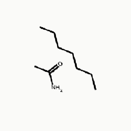 CC(N)=O.CCCCCCC